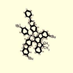 CC(C)(C)c1ccc(N2B3c4cc5nc(-c6ccccc6)sc5cc4-n4c5ccc(C(C)(C)C)cc5c5c6c(c(c3c54)-c3cc4c(cc32)sc2ccc(C(C)(C)C)cc24)-c2ccccc2C6(C)C)cc1